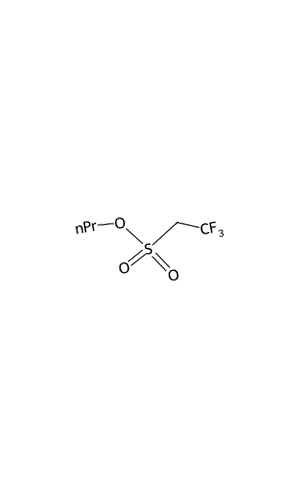 CCCOS(=O)(=O)CC(F)(F)F